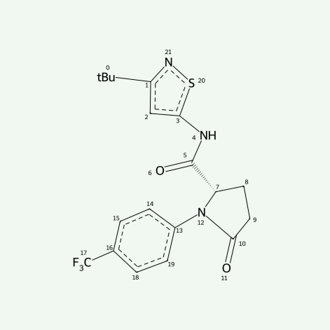 CC(C)(C)c1cc(NC(=O)[C@@H]2CCC(=O)N2c2ccc(C(F)(F)F)cc2)sn1